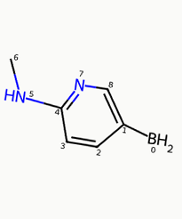 Bc1ccc(NC)nc1